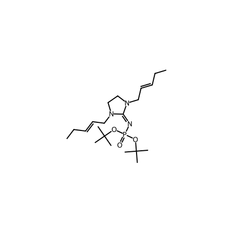 CC/C=C/CN1CCN(C/C=C/CC)C1=NP(=O)(OC(C)(C)C)OC(C)(C)C